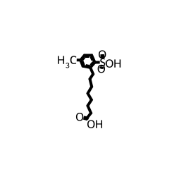 Cc1ccc(S(=O)(=O)O)c(CCCCCCCC(=O)O)c1